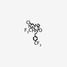 O=C(NCCc1ccc(C(F)(F)F)cc1)[C@@H]1CCN1c1cc(Cl)nc(C(F)(F)F)n1